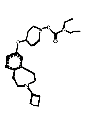 CCN(CC)C(=O)ON1CCC(Oc2ccc3c(c2)CCN(C2CCC2)CC3)CC1